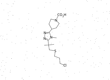 Cn1c(C2CCN(C(=O)O)CC2)nnc1C(C)(C)CSCCCCl